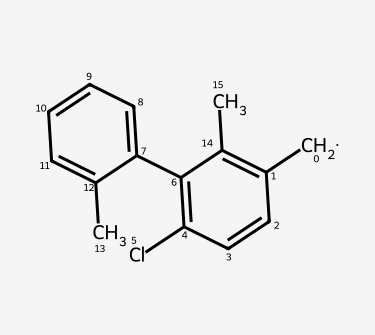 [CH2]c1ccc(Cl)c(-c2ccccc2C)c1C